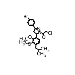 COc1c(CC(C)C)ccc(C2CC(c3ccc(Br)cc3)=NN2C(=O)CCl)c1OC